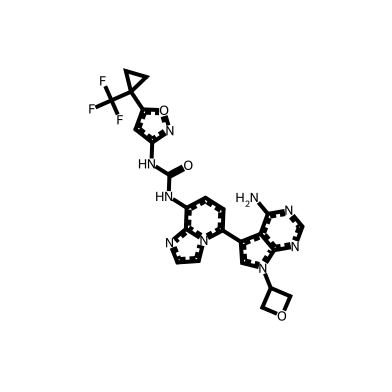 Nc1ncnc2c1c(-c1ccc(NC(=O)Nc3cc(C4(C(F)(F)F)CC4)on3)c3nccn13)cn2C1COC1